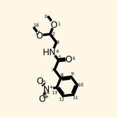 COC(CNC(=O)Cc1ccccc1[N+](=O)[O-])OC